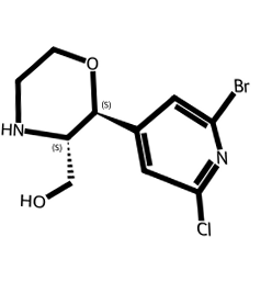 OC[C@@H]1NCCO[C@H]1c1cc(Cl)nc(Br)c1